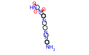 Nc1ccc(N2CCN(C3CCC4(CC3)CCN(c3ccc5c(c3)CN(C3CCC(=O)NC3=O)C5=O)CC4)CC2)cc1